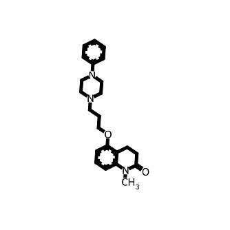 CN1C(=O)CCc2c(OCCCN3CCN(c4ccccc4)CC3)cccc21